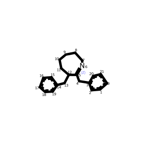 c1ccc(C/C2=N/CCCCCC2Cc2ccccc2)cc1